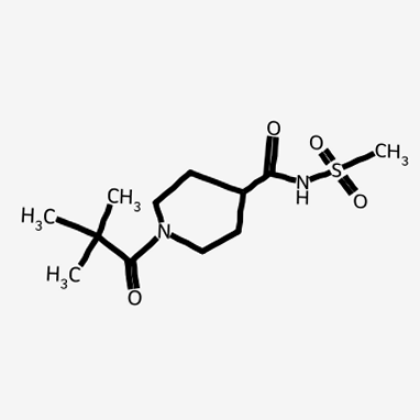 CC(C)(C)C(=O)N1CCC(C(=O)NS(C)(=O)=O)CC1